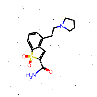 NC(=O)C1=Cc2c(CCN3CCCC3)cccc2S1(=O)=O